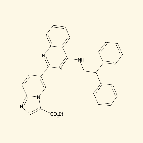 CCOC(=O)c1cnc2ccc(-c3nc(NCC(c4ccccc4)c4ccccc4)c4ccccc4n3)cn12